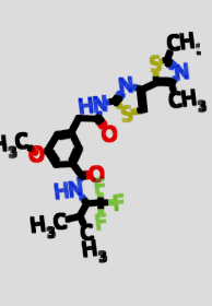 COc1cc(CC(=O)Nc2nc(-c3sc(C)nc3C)cs2)cc(C(=O)NC(C(C)C)C(F)(F)F)c1